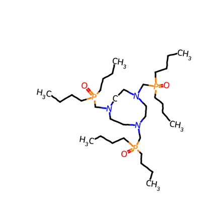 CCCCP(=O)(CCCC)CN1CCN(CP(=O)(CCCC)CCCC)CCN(CP(=O)(CCCC)CCCC)CC1